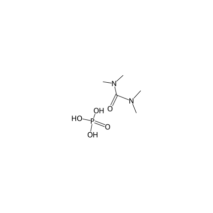 CN(C)C(=O)N(C)C.O=P(O)(O)O